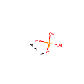 O=P(O)(O)O.[Fe].[LiH].[Ti]